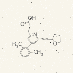 Cc1cccc(C)c1-c1cc(C#CC2CCCO2)nc(CCC(=O)O)c1